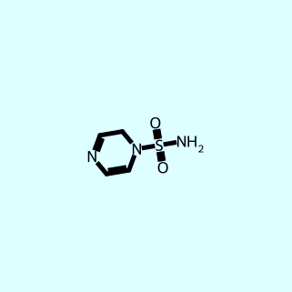 NS(=O)(=O)N1C=CN=CC1